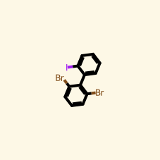 Brc1cccc(Br)c1-c1ccccc1I